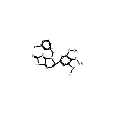 COc1cc(C2=CN=C3[N]C(=O)N=C3N2Cc2cccc(Cl)c2)cc(OC)c1OC